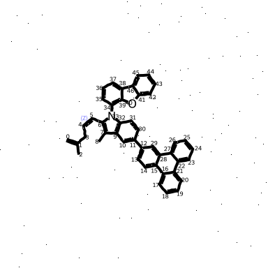 C=C(C)C/C=C\c1c(C)c2cc(-c3ccc4c5ccccc5c5ccccc5c4c3)ccc2n1-c1cccc2c1oc1ccccc12